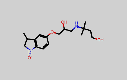 CC1C[NH+]([O-])c2ccc(OCC(O)CNC(C)(C)CCO)cc21